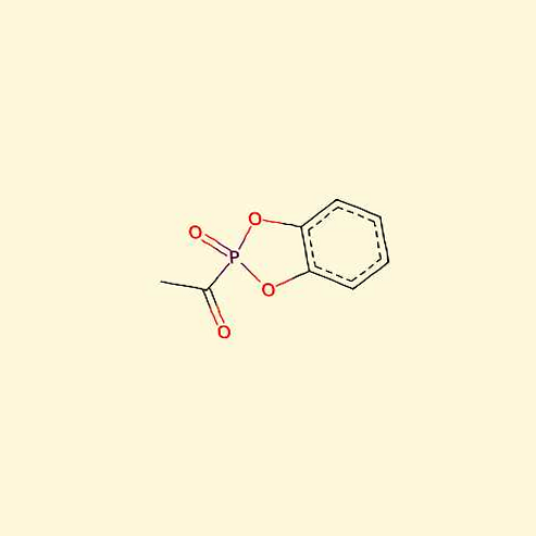 CC(=O)P1(=O)Oc2ccccc2O1